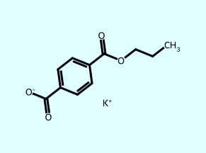 CCCOC(=O)c1ccc(C(=O)[O-])cc1.[K+]